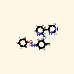 Cc1ccc(NOc2ccccc2)cc1Nc1ncccc1-c1ccncn1